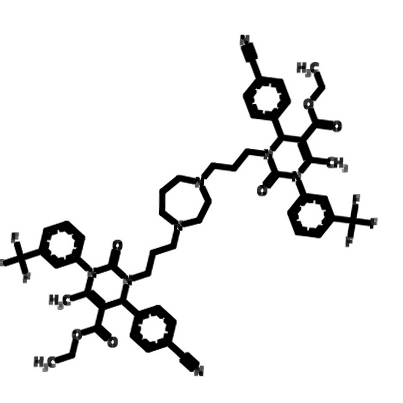 CCOC(=O)C1=C(C)N(c2cccc(C(F)(F)F)c2)C(=O)N(CCCN2CCCN(CCCN3C(=O)N(c4cccc(C(F)(F)F)c4)C(C)=C(C(=O)OCC)C3c3ccc(C#N)cc3)CC2)C1c1ccc(C#N)cc1